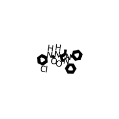 Cc1c(NC(=O)Nc2cccc(Cl)c2)c(=O)n(-c2ccccc2)n1-c1ccccc1